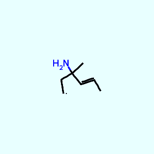 [CH2]CC(C)(N)C=CC